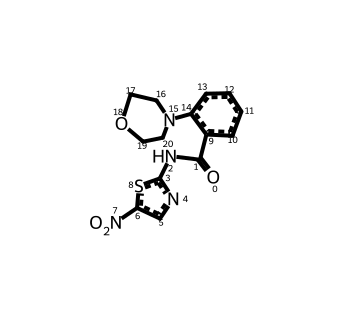 O=C(Nc1ncc([N+](=O)[O-])s1)c1ccccc1N1CCOCC1